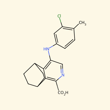 Cc1ccc(Nc2cnc(C(=O)O)c3c2C2CCC3CC2)cc1Cl